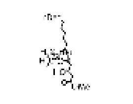 CCCCCCCCCCCCCCCCC[C@H](C[C@@H](O)CC(=O)OC)O[Si](C)(C)C(C)(C)C